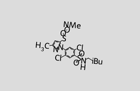 CCC(C)CNS(=O)(=O)c1cc(Cl)c(-n2nc(C)cc2SOONC)cc1Cl